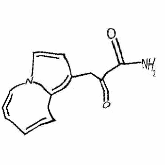 NC(=O)C(=O)c1ccn2ccccc12